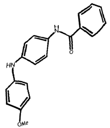 COc1ccc(Nc2ccc(NC(=O)c3ccccc3)cc2)cc1